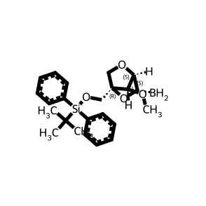 B[C@@H]1O[C@@]2(CO[Si](c3ccccc3)(c3ccccc3)C(C)(C)C)CO[C@@H]1[C@@H]2OC